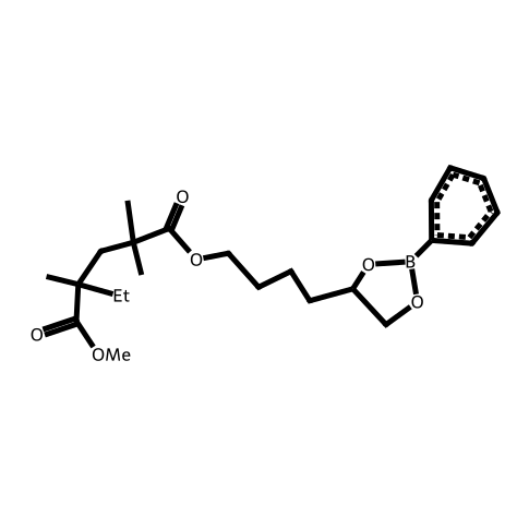 CCC(C)(CC(C)(C)C(=O)OCCCCC1COB(c2ccccc2)O1)C(=O)OC